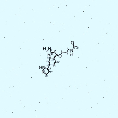 CC(=O)NCCCOc1cc(N)nc2cc(-c3ccn[nH]3)ccc12